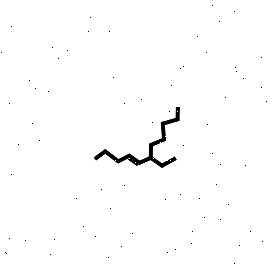 CCCC=CC(CC)CCCCC